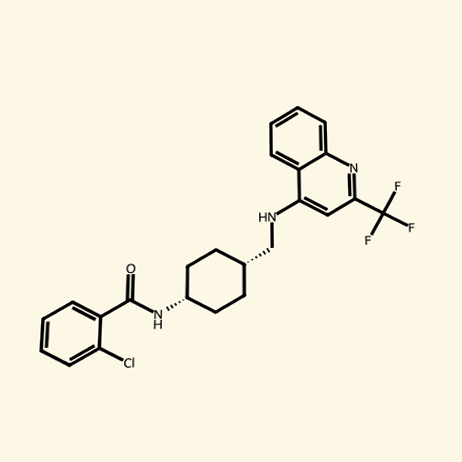 O=C(N[C@H]1CC[C@@H](CNc2cc(C(F)(F)F)nc3ccccc23)CC1)c1ccccc1Cl